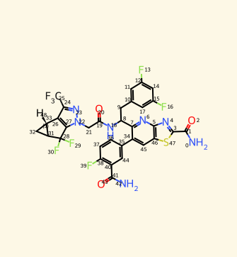 NC(=O)c1nc2nc(C(Cc3cc(F)cc(F)c3)NC(=O)Cn3nc(C(F)(F)F)c4c3C(F)(F)C3C[C@H]43)c(-c3ccc(F)c(C(N)=O)c3)cc2s1